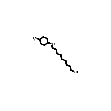 CCCCCCCCCCNC1CCC(N)CC1